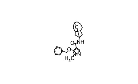 Cn1ncc(C(=O)NC23CC4CCCC(C2)C(C4)C3)c1OCc1ccccc1